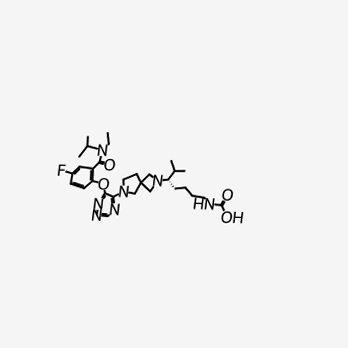 CCN(C(=O)c1cc(F)ccc1Oc1nncnc1N1CCC2(C1)CN([C@@H](CCCCNC(=O)O)C(C)C)C2)C(C)C